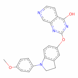 COc1ccc(N2CCc3cc(Oc4nc(O)c5ccncc5n4)ccc32)cc1